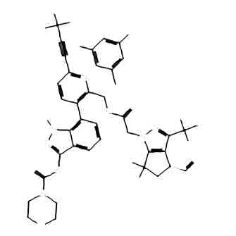 C=C[C@H]1CC(F)(F)c2c1c(C(F)(F)F)nn2CC(=O)N[C@@H](Cc1cc(F)cc(F)c1)c1nc(C#CC(C)(C)O)ccc1-c1cccc2c(NC(=O)N3CCOCC3)nn(C)c12